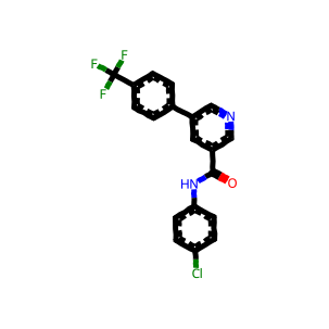 O=C(Nc1ccc(Cl)cc1)c1cncc(-c2ccc(C(F)(F)F)cc2)c1